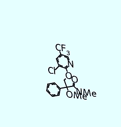 CNC(=O)C(COc1ncc(C(F)(F)F)cc1Cl)(OC)c1ccccc1